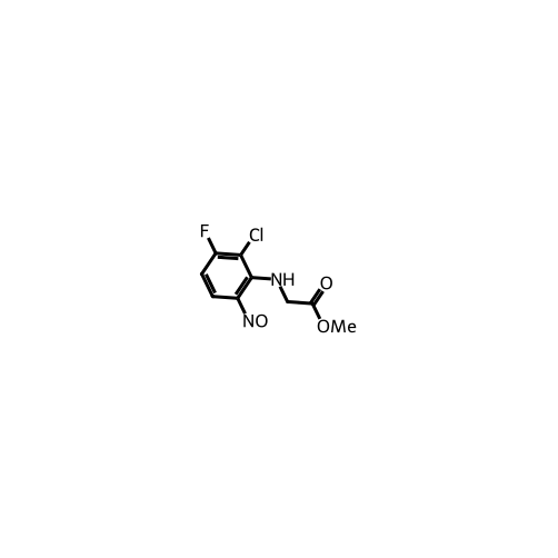 COC(=O)CNc1c(N=O)ccc(F)c1Cl